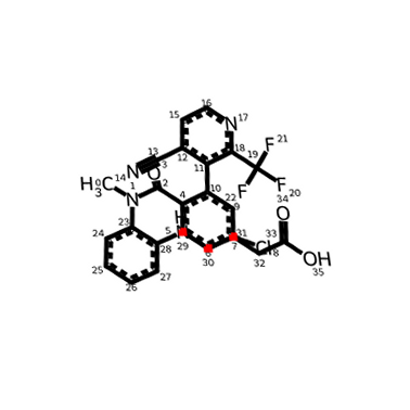 CN(C(=O)c1ccc(Cl)cc1-c1c(C#N)ccnc1C(F)(F)F)c1ccccc1NCCCC(=O)O